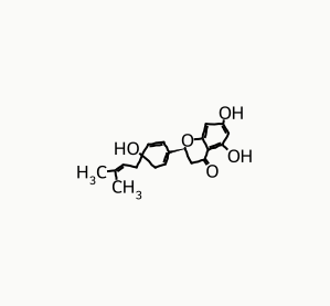 CC(C)=CCC1(O)C=CC([C@@H]2CC(=O)c3c(O)cc(O)cc3O2)=CC1